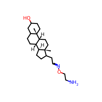 C[C@]12CCC(O)CC1CC[C@@H]1[C@H]2CC[C@]2(C)C(CC=NOCCN)CC[C@@H]12